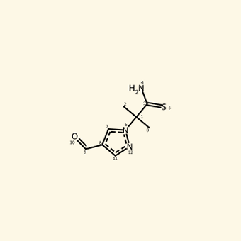 CC(C)(C(N)=S)n1cc(C=O)cn1